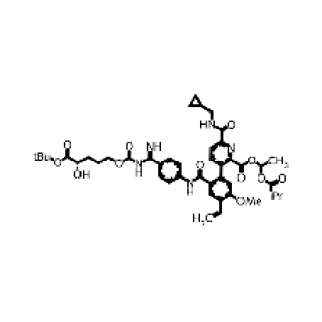 C=Cc1cc(C(=O)Nc2ccc(C(=N)NC(=O)OCCC[C@H](O)C(=O)OC(C)(C)C)cc2)c(-c2ccc(C(=O)NCC3CC3)nc2C(=O)OC(C)OC(=O)C(C)C)cc1OC